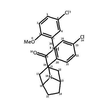 COc1ccc(Cl)cc1NC(=O)C1CC2CCC(C1)N2Cc1ccc(Cl)cc1